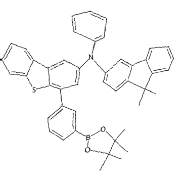 CC1(C)c2ccccc2-c2cc(N(c3ccccc3)c3cc(-c4cccc(B5OC(C)(C)C(C)(C)O5)c4)c4sc5ccccc5c4c3)ccc21